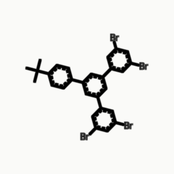 CC(C)(C)c1ccc(-c2cc(-c3cc(Br)cc(Br)c3)cc(-c3cc(Br)cc(Br)c3)c2)cc1